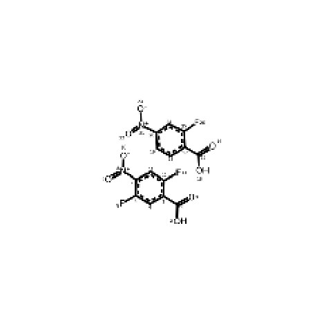 O=C(O)c1cc(F)c([N+](=O)[O-])cc1F.O=C(O)c1ccc([N+](=O)[O-])cc1F